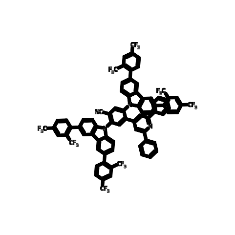 N#Cc1cc(-n2c3ccc(-c4ccc(C(F)(F)F)cc4C(F)(F)F)cc3c3cc(-c4ccc(C(F)(F)F)cc4C(F)(F)F)ccc32)c(-c2cc(-c3ccccc3)nc(-c3ccccc3)c2)cc1-n1c2ccc(-c3ccc(C(F)(F)F)cc3C(F)(F)F)cc2c2cc(-c3ccc(C(F)(F)F)cc3C(F)(F)F)ccc21